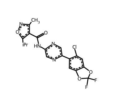 Cc1noc(C(C)C)c1C(=O)Nc1cnc(-c2cc3c(cc2Cl)OC(F)(F)O3)cn1